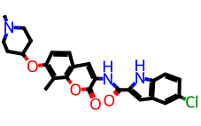 Cc1c(OC2CCN(C)CC2)ccc2cc(NC(=O)c3cc4cc(Cl)ccc4[nH]3)c(=O)oc12